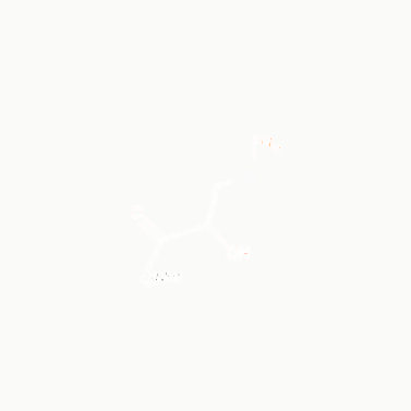 COC(=O)C(O)CSP